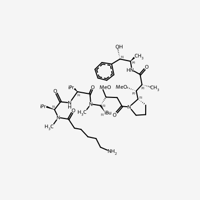 CC[C@H](C)[C@@H](C(CC(=O)N1CCC[C@H]1[C@H](OC)[C@@H](C)C(=O)N[C@H](C)[C@@H](O)c1ccccc1)OC)N(C)C(=O)[C@@H](NC(=O)[C@H](C(C)C)N(C)C(=O)CCCCCN)C(C)C